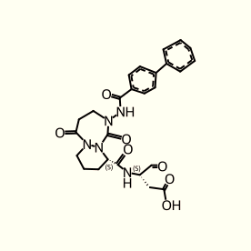 O=C[C@H](CC(=O)O)NC(=O)[C@@H]1CCCN2C(=O)CCN(NC(=O)c3ccc(-c4ccccc4)cc3)C(=O)N12